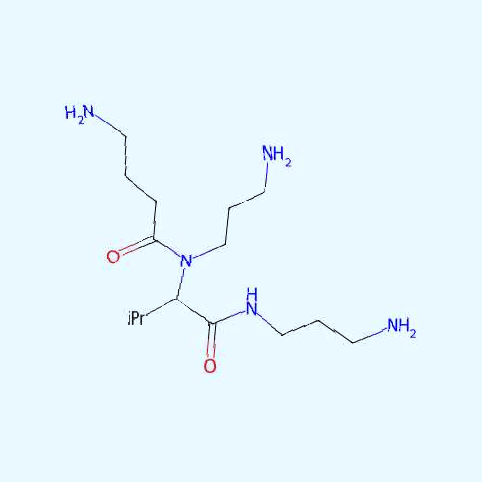 CC(C)C(C(=O)NCCCN)N(CCCN)C(=O)CCCN